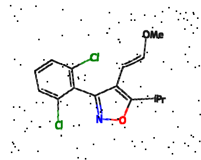 COC=Cc1c(-c2c(Cl)cccc2Cl)noc1C(C)C